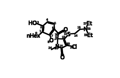 CCCCCCc1c(O)ccc2c1O[C@]1(C2=O)C(SCCN(CC)CC)=C(Cl)C(=O)N1C